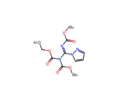 CC(=O)OCOC(=O)N(C(=O)OC(C)(C)C)C(=NC(=O)OC(C)(C)C)n1cccn1